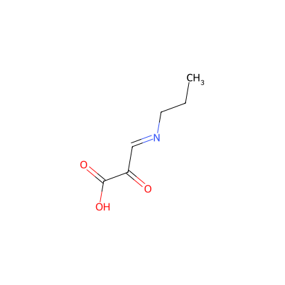 CCC/N=C/C(=O)C(=O)O